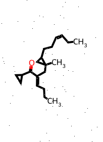 CC/C=C\CCC1CC1(C)C/C(=C\CCC)C(=O)C1CC1